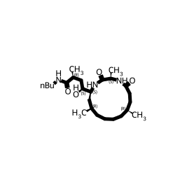 CCCCNC(=O)[C@H](C)C[C@H](O)[C@@H]1C[C@H](C)CCCC[C@@H](C)CCC(=O)N[C@@H](C)C(=O)N1